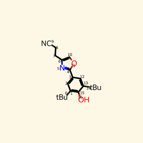 CC(C)(C)c1cc(-c2nc(CCC#N)co2)cc(C(C)(C)C)c1O